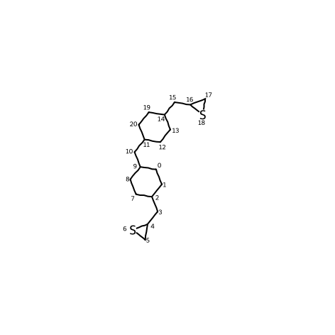 C1CC(CC2CS2)CCC1CC1CCC(CC2CS2)CC1